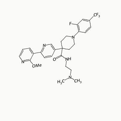 COc1ncccc1-c1ccc(C2(C(=O)NCCN(C)C)CCN(c3ccc(C(F)(F)F)cc3F)CC2)cn1